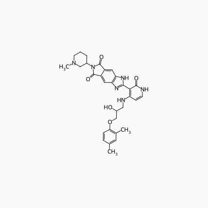 Cc1ccc(OCC(O)CNc2cc[nH]c(=O)c2-c2nc3cc4c(cc3[nH]2)C(=O)N(C2CCCN(C)C2)C4=O)c(C)c1